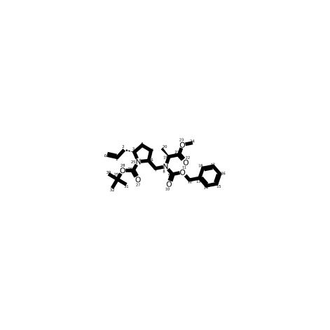 C=CC[C@@H]1CCC(CN(C(=O)OCc2ccccc2)[C@@H](C)C(=O)OC)N1C(=O)OC(C)(C)C